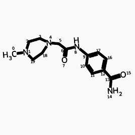 CN1CCN(CC(=O)Nc2ccc(C(N)=O)cc2)CC1